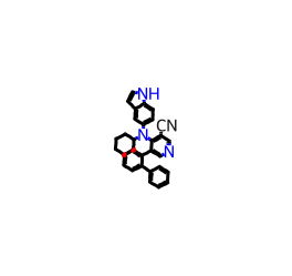 N#Cc1cncc(-c2ccccc2-c2ccccc2)c1N(c1ccc2[nH]ccc2c1)C1CCCCC1